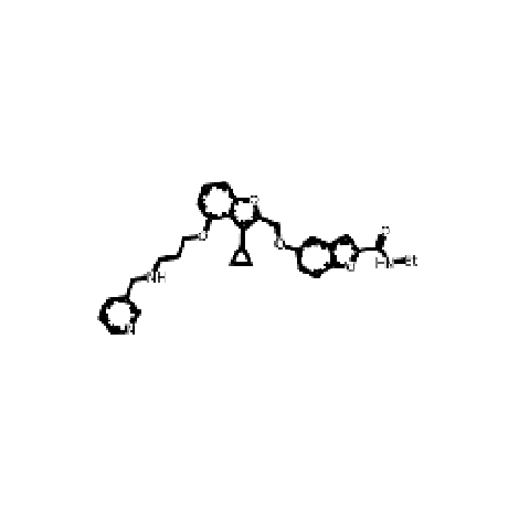 CCNC(=O)c1cc2cc(OCc3oc4cccc(OCCCNCc5cccnc5)c4c3C3CC3)ccc2o1